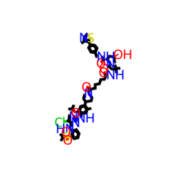 Cc1cc(Nc2ncc(Cl)c(Nc3ccccc3S(=O)(=O)C(C)C)n2)c(OC(C)C)cc1C1CCN(C(=O)CCCCCC(=O)NC(C(=O)N2C[C@H](O)C[C@H]2C(=O)NCc2ccc(-c3scnc3C)cc2)C(C)(C)C)CC1